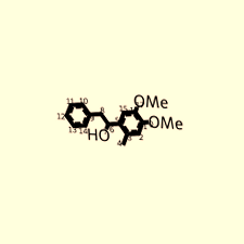 COc1cc(C)c(C(O)Cc2ccccc2)cc1OC